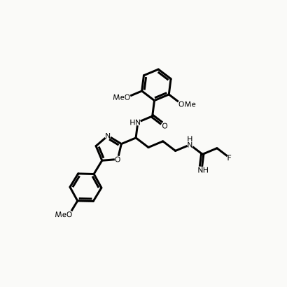 COc1ccc(-c2cnc(C(CCCNC(=N)CF)NC(=O)c3c(OC)cccc3OC)o2)cc1